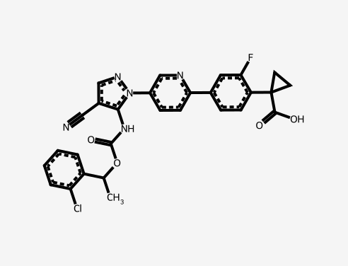 CC(OC(=O)Nc1c(C#N)cnn1-c1ccc(-c2ccc(C3(C(=O)O)CC3)c(F)c2)nc1)c1ccccc1Cl